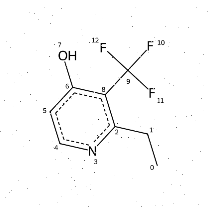 CCc1nccc(O)c1C(F)(F)F